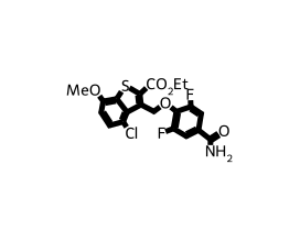 CCOC(=O)c1sc2c(OC)ccc(Cl)c2c1COc1c(F)cc(C(N)=O)cc1F